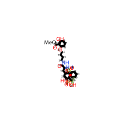 COC(=O)c1c(O)cccc1OCCCCNC(=O)C(Cc1ccc(C(F)(F)P(=O)(O)O)cc1)NS(=O)(=O)c1ccccc1